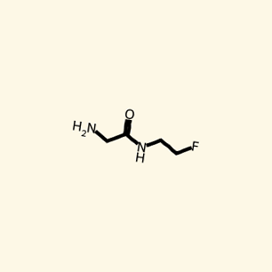 NCC(=O)NCCF